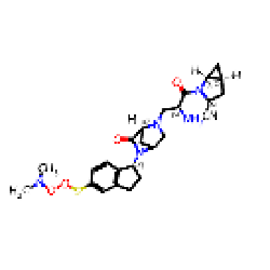 CN(C)OOSc1ccc2c(c1)CC[C@@H]2N1C(=O)[C@@H]2CC1CN2C[C@H](N)C(=O)N1[C@H](C#N)C[C@@H]2C[C@@H]21